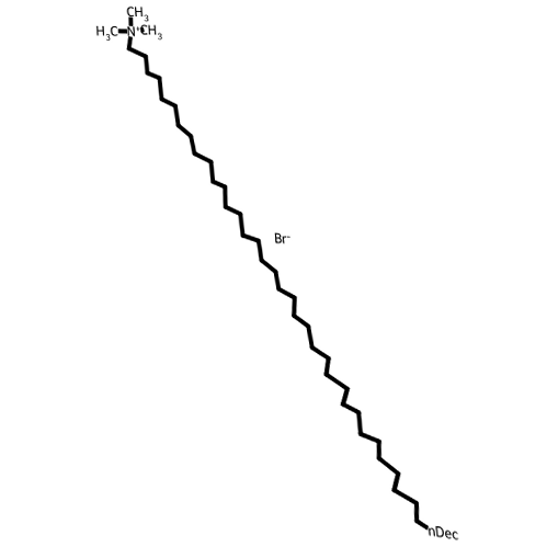 CCCCCCCCCCCCCCCCCCCCCCCCCCCCCCCCCCCCCCCCCCCCC[N+](C)(C)C.[Br-]